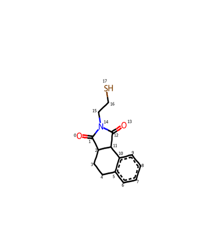 O=C1C2CCc3ccccc3C2C(=O)N1CCS